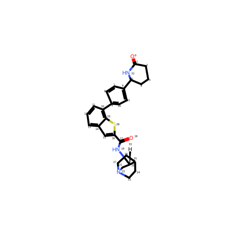 O=C1CCCC(c2ccc(-c3cccc4cc(C(=O)N[C@H]5CN6CCC5CC6)sc34)cc2)N1